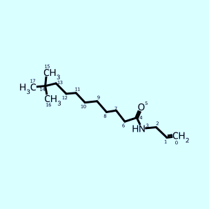 C=CCNC(=O)CCCCCCCCC(C)(C)C